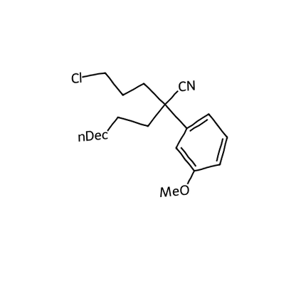 CCCCCCCCCCCCC(C#N)(CCCCl)c1cccc(OC)c1